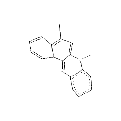 CC1=C2C=CC=CC2C2=Cc3ccccc3N(C)C2=C1